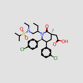 CCC(CN(CC)S(=O)(=O)C(C)C)N1C(=O)[C@@](C)(CC(=O)O)CC(c2cccc(Cl)c2)[C@H]1c1ccc(Cl)cc1